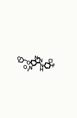 O=[N+]([O-])c1cc2c(Nc3ccc(F)c(Cl)c3)ncnc2cc1OCC1CCOC1